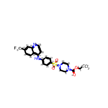 O=C(OCC(Cl)(Cl)Cl)N1CCN(S(=O)(=O)c2ccc(Nc3ccnc4cc(C(F)(F)F)ccc34)cc2)CC1